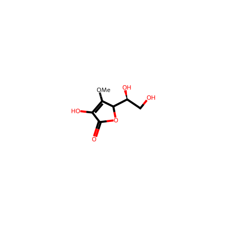 COC1=C(O)C(=O)OC1[C@@H](O)CO